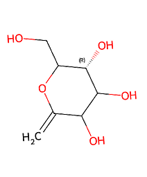 C=C1OC(CO)[C@H](O)C(O)C1O